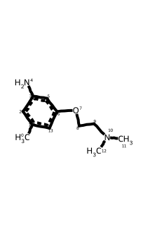 Cc1cc(N)cc(OCCN(C)C)c1